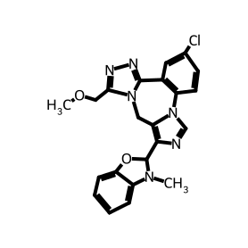 COCc1nnc2n1Cc1c(C3Oc4ccccc4N3C)ncn1-c1ccc(Cl)cc1-2